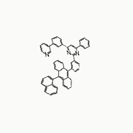 C1=CC2C(c3cccc(-c4nc(-c5ccccc5)cc(-c5cccc(-c6cccnc6)c5)n4)c3)=c3ccccc3=C(c3cccc4ccccc34)C2C=C1